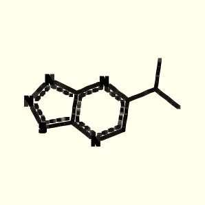 CC(C)c1cnc2snnc2n1